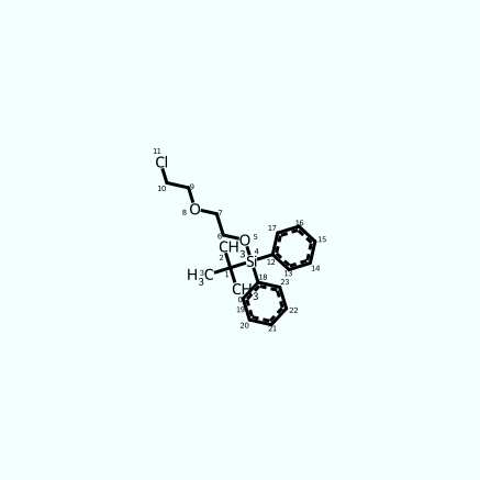 CC(C)(C)[Si](OCCOCCCl)(c1ccccc1)c1ccccc1